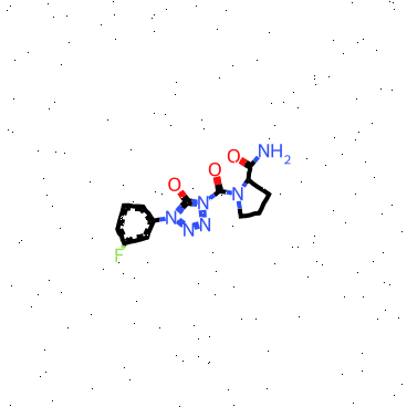 NC(=O)C1CCCN1C(=O)n1nnn(-c2cccc(F)c2)c1=O